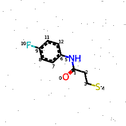 O=C(CC[S])Nc1ccc(F)cc1